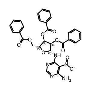 Nc1ncnc(N[C@@H]2O[C@H](COC(=O)c3ccccc3)[C@@H](OC(=O)c3ccccc3)[C@H]2OC(=O)c2ccccc2)c1[N+](=O)[O-]